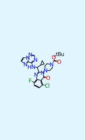 CC(C)(C)OC(=O)N1CCN(n2c(C(Nc3ncnn4ccnc34)C3CC3)nc3c(F)ccc(Cl)c3c2=O)CC1